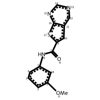 COc1cccc(NC(=O)c2cc3cncnc3s2)c1